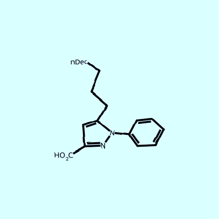 CCCCCCCCCCCCCc1cc(C(=O)O)nn1-c1ccccc1